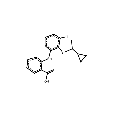 CC(Oc1c(Cl)cccc1Nc1ccccc1C(=O)O)C1CC1